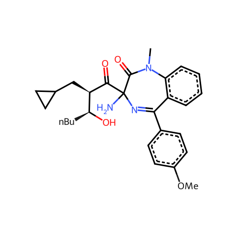 CCCC[C@H](O)[C@@H](CC1CC1)C(=O)C1(N)N=C(c2ccc(OC)cc2)c2ccccc2N(C)C1=O